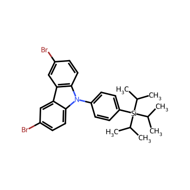 CC(C)[Si](c1ccc(-n2c3ccc(Br)cc3c3cc(Br)ccc32)cc1)(C(C)C)C(C)C